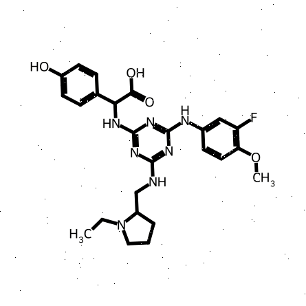 CCN1CCCC1CNc1nc(Nc2ccc(OC)c(F)c2)nc(NC(C(=O)O)c2ccc(O)cc2)n1